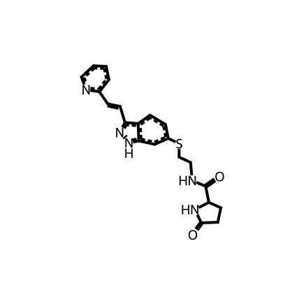 O=C1CCC(C(=O)NCCSc2ccc3c(C=Cc4ccccn4)n[nH]c3c2)N1